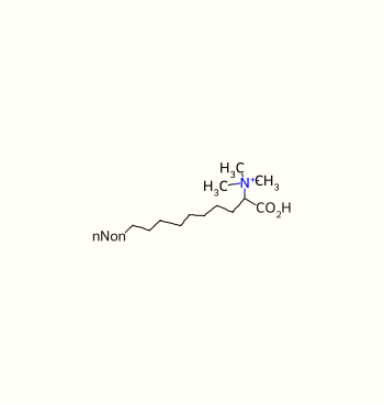 CCCCCCCCCCCCCCCCCC(C(=O)O)[N+](C)(C)C